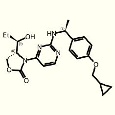 CC[C@@H](O)[C@H]1COC(=O)N1c1ccnc(N[C@@H](C)c2ccc(OCC3CC3)cc2)n1